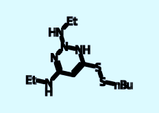 CCCCSSC1=CC(NCC)=NN(NCC)N1